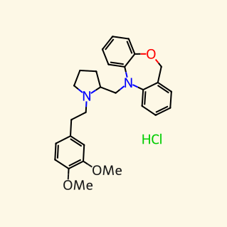 COc1ccc(CCN2CCCC2CN2c3ccccc3COc3ccccc32)cc1OC.Cl